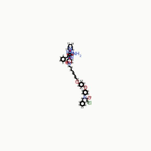 Nc1nnc(-c2ccccc2O)cc1N1CC2CCC(C1)N2c1ncc(C2CCN(CCCCCCCCOc3ccc(Oc4ccc(N(Cc5ccccc5)C(=O)CCl)cc4)cc3)CC2)cn1